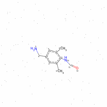 Cc1cc(CN)cc(C)c1NC=O